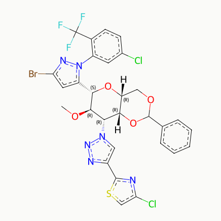 CO[C@@H]1[C@@H](n2cc(-c3nc(Cl)cs3)nn2)[C@H]2OC(c3ccccc3)OC[C@H]2O[C@H]1c1cc(Br)nn1-c1cc(Cl)ccc1C(F)(F)F